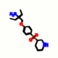 CCC(N)(CC)COc1ccc(S(=O)(=O)C2CCCNC2)cc1